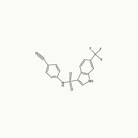 N#Cc1ccc(NS(=O)(=O)c2c[nH]c3cc(C(F)(F)F)ccc23)cc1